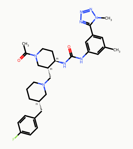 CC(=O)N1CC[C@@H](NC(=O)Nc2cc(C)cc(-c3nnnn3C)c2)[C@H](CN2CCC[C@@H](Cc3ccc(F)cc3)C2)C1